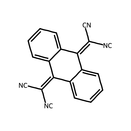 [C-]#[N+]C(C#N)=c1c2ccccc2c(=C(C#N)[N+]#[C-])c2ccccc12